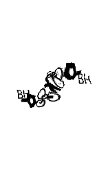 B=Cc1ccc(OP2OCC3(CO2)COP(Oc2ccc(C=B)cc2)OC3)cc1